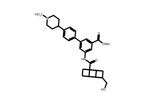 COC(=O)c1cc(NC(=O)C23C4C5C2C2C3C4C52CO)cc(-c2ccc(C3CCN(C(=O)O)CC3)cc2)c1